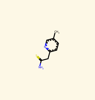 Cc1ccc(CC(N)=S)nc1